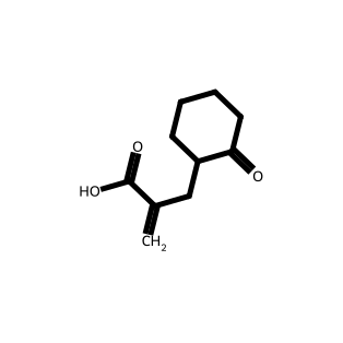 C=C(CC1CCCCC1=O)C(=O)O